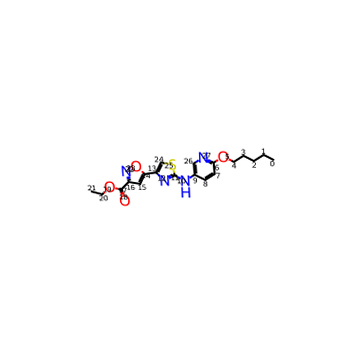 CCCCCOc1ccc(Nc2nc(-c3cc(C(=O)OCC)no3)cs2)cn1